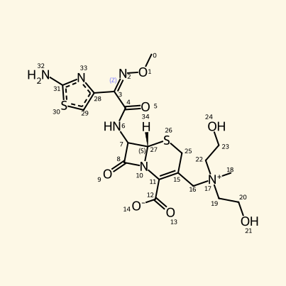 CO/N=C(\C(=O)NC1C(=O)N2C(C(=O)[O-])=C(C[N+](C)(CCO)CCO)CS[C@@H]12)c1csc(N)n1